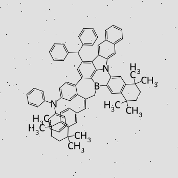 CC1(C)CCC(C)(C)c2cc(/C=C3/CB4c5cc6c(cc5-n5c7cc8ccccc8cc7c7c(C(c8ccccc8)c8ccccc8)cc(c4c75)-c4ccc(N(c5ccccc5)c5ccccc5)cc43)C(C)(C)CCC6(C)C)ccc21